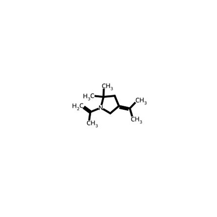 C=C(C)N1CC(=C(C)C)CC1(C)C